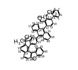 C=Cc1c(-c2ccccc2)ccc(-c2c3ccccc3c(-c3ccc4c(c3)C(C)(C)c3ccc5ccc6oc7ccccc7c6c5c3-4)c3ccccc23)c1C=C